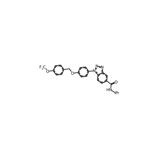 CC(C)NC(=O)c1ccc2c(c1)nnn2-c1ccc(OCc2ccc(OC(F)(F)F)cc2)cc1